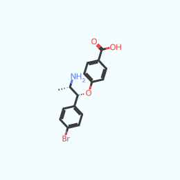 C[C@H](N)[C@H](Oc1ccc(C(=O)O)cc1)c1ccc(Br)cc1